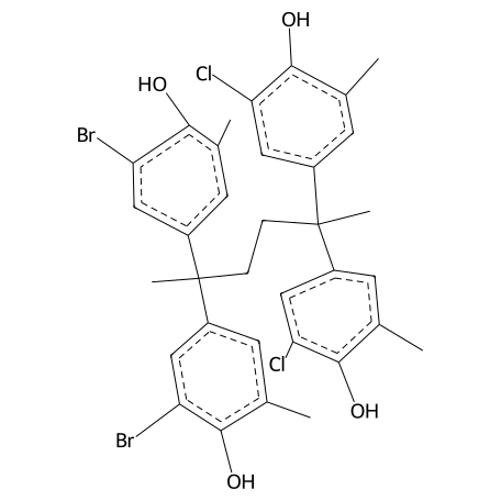 Cc1cc(C(C)(CCC(C)(c2cc(C)c(O)c(Br)c2)c2cc(C)c(O)c(Br)c2)c2cc(C)c(O)c(Cl)c2)cc(Cl)c1O